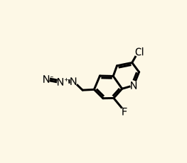 [N-]=[N+]=NCc1cc(F)c2ncc(Cl)cc2c1